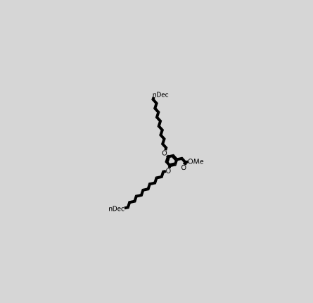 CCCCCCCCCCCCCCCCCCCCCCOc1cc(CC(=O)OC)cc(OCCCCCCCCCCCCCCCCCCCCCC)c1